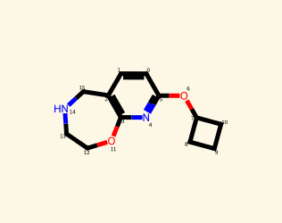 c1cc2c(nc1OC1CCC1)OCCNC2